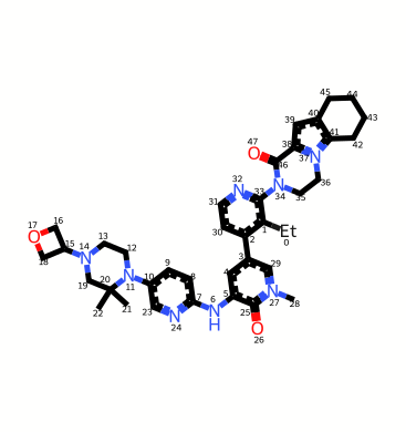 CCc1c(-c2cc(Nc3ccc(N4CCN(C5COC5)CC4(C)C)cn3)c(=O)n(C)c2)ccnc1N1CCn2c(cc3c2CCCC3)C1=O